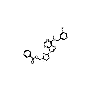 CN(Cc1cccc(F)c1)c1ncnc2c1ncn2C1CC[C@@H](COC(=O)c2ccccc2)O1